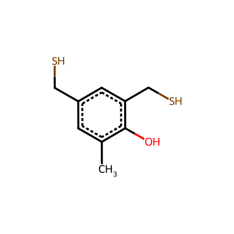 Cc1cc(CS)cc(CS)c1O